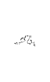 O=C(O)c1ccc(C(=O)O)c(-c2ccc(SCl)cc2)c1